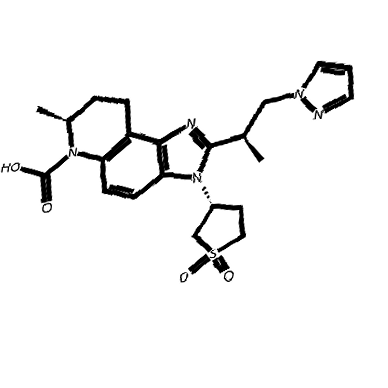 C[C@H](Cn1cccn1)c1nc2c3c(ccc2n1[C@@H]1CCS(=O)(=O)C1)N(C(=O)O)[C@@H](C)CC3